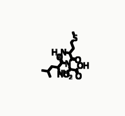 CSCCC(N)C(=O)N(C(=O)C(N)CC(C)C)C(O)C(=O)O